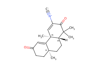 [C-]#[N+]C1=C[C@]2(C)C3=CC(=O)CC[C@]3(C)CC[C@H]2C(C)(C)C1=O